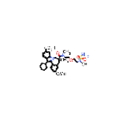 COc1ccc2c(c1)C[C@](C)(C(=O)N(C)CCOCCN(C)S(N)(=O)=O)Cn1c-2c(C2CCCCC2)c2ccc(C(=O)O)cc21